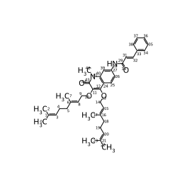 CC(C)=CCC/C(C)=C/COc1c(OC/C=C(\C)CCC=C(C)C)c2ccc(NC(=O)C=Cc3ccccc3)cc2n(C)c1=O